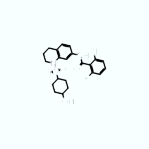 O=C(Nc1ccc2c(c1)N(S(=O)(=O)C1CCC(O)CC1)CCC2)c1c(F)cccc1Cl